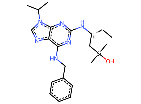 CC[C@H](C[Si](C)(C)O)Nc1nc(NCc2ccccc2)c2ncn(C(C)C)c2n1